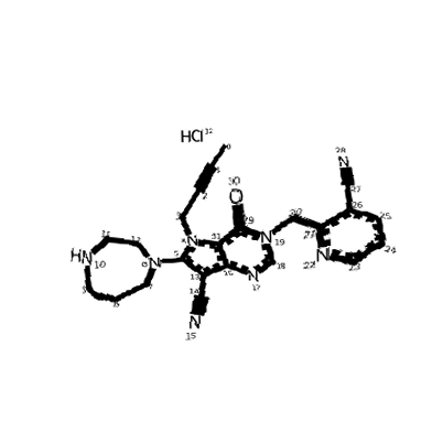 CC#CCn1c(N2CCCNCC2)c(C#N)c2ncn(Cc3ncccc3C#N)c(=O)c21.Cl